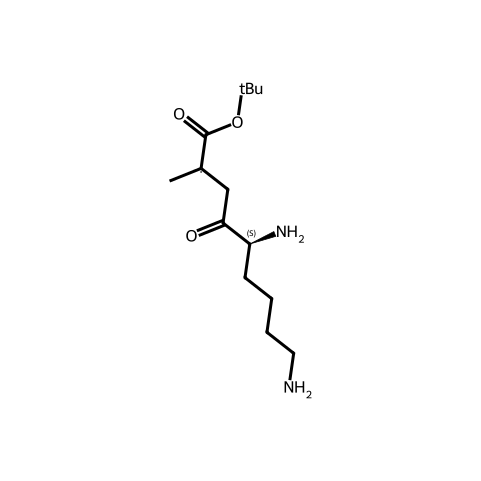 C[C](CC(=O)[C@@H](N)CCCCN)C(=O)OC(C)(C)C